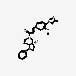 COc1cc(/C=C/C(=O)N2CCC3[C@@H](CCN3c3ccccc3)C2)ccc1-n1cnc(C)c1